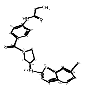 CCC(=O)Nc1ccc(C(=O)N2CCC(Nc3ncc4ccc(F)cc4n3)C2)cc1